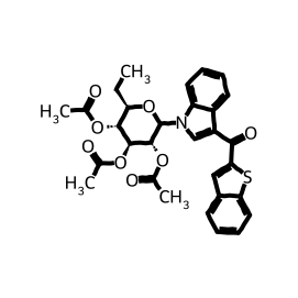 CC[C@H]1OC(n2cc(C(=O)c3cc4ccccc4s3)c3ccccc32)[C@H](OC(C)=O)[C@@H](OC(C)=O)[C@@H]1OC(C)=O